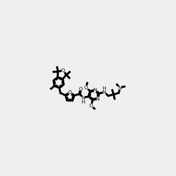 COc1nc(NCC(C)(C)CN(C)C)nc(OC)c1NC(=O)c1ccc(Cc2cc3c(cc2C)C(C)(C)OC3(C)C)o1